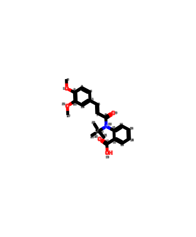 COc1ccc(C=CC(=O)N(c2ccccc2C(=O)O)[Si](C)(C)C)cc1OC